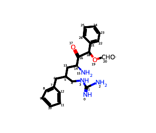 N=C(N)NCC(Cc1ccccc1)C[C@H](N)C(=O)C(O[C]=O)c1ccccc1